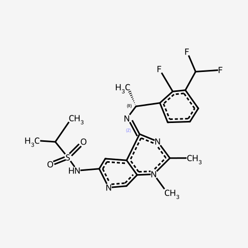 Cc1n/c(=N\[C@H](C)c2cccc(C(F)F)c2F)c2cc(NS(=O)(=O)C(C)C)ncc2n1C